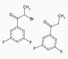 CC(Br)C(=O)c1cc(F)cc(F)c1.CCC(=O)c1cc(F)cc(F)c1